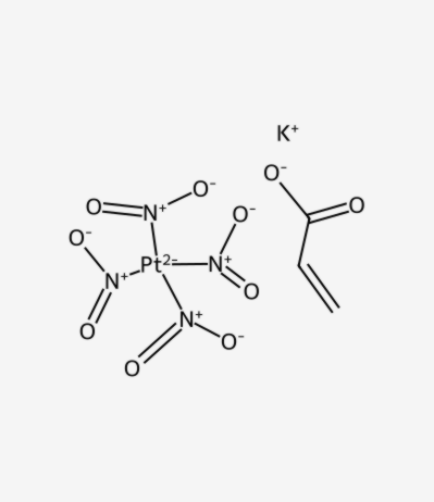 C=CC(=O)[O-].O=[N+]([O-])[Pt-2]([N+](=O)[O-])([N+](=O)[O-])[N+](=O)[O-].[K+]